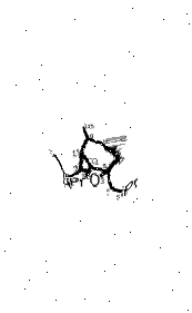 CBC1OC2(CC(C)C)CCC(C)C1C2C(C)C